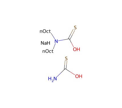 CCCCCCCCN(CCCCCCCC)C(O)=S.NC(O)=S.[NaH]